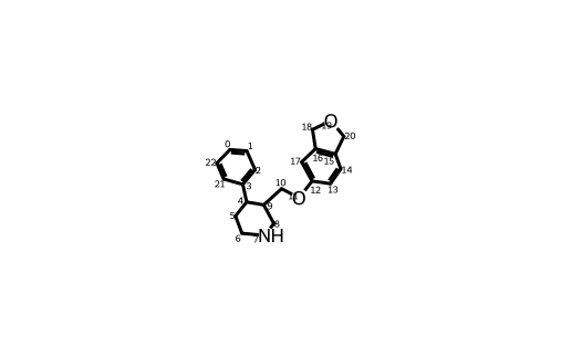 c1ccc(C2CCNCC2COc2ccc3c(c2)COC3)cc1